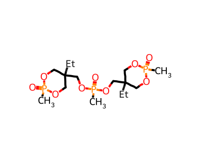 CCC1(COP(C)(=O)OCC2(CC)COP(C)(=O)OC2)COP(C)(=O)OC1